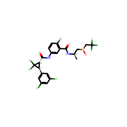 C[C@H](C[S+]([O-])CC(F)(F)F)NC(=O)c1cc(NC(=O)[C@@H]2[C@@H](c3cc(Cl)cc(Cl)c3)C2(Cl)Cl)ccc1Cl